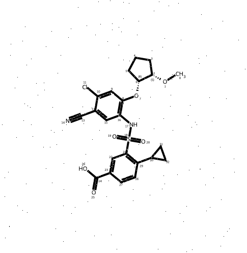 CO[C@H]1CCC[C@H]1Oc1cc(Cl)c(C#N)cc1NS(=O)(=O)c1cc(C(=O)O)ccc1C1CC1